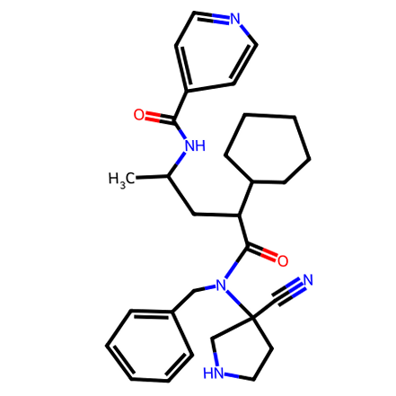 CC(CC(C(=O)N(Cc1ccccc1)C1(C#N)CCNC1)C1CCCCC1)NC(=O)c1ccncc1